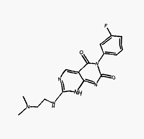 CN(C)CCNc1ncc2c(=O)n(-c3cccc(F)c3)c(=O)nc-2[nH]1